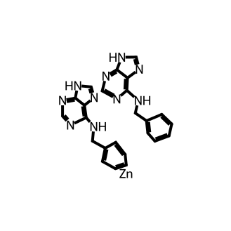 [Zn].c1ccc(CNc2ncnc3[nH]cnc23)cc1.c1ccc(CNc2ncnc3[nH]cnc23)cc1